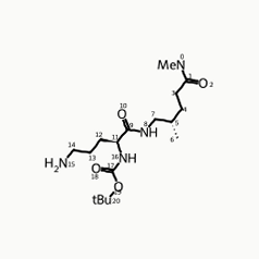 CNC(=O)CC[C@H](C)CNC(=O)[C@H](CCCN)NC(=O)OC(C)(C)C